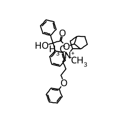 C[N+](C)(CCCOc1ccccc1)C1CC2CCC1C2OC(=O)C(O)(c1ccccc1)c1ccccc1